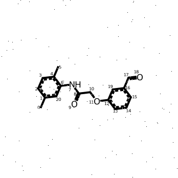 Cc1ccc(C)c(NC(=O)COc2cccc(C=O)c2)c1